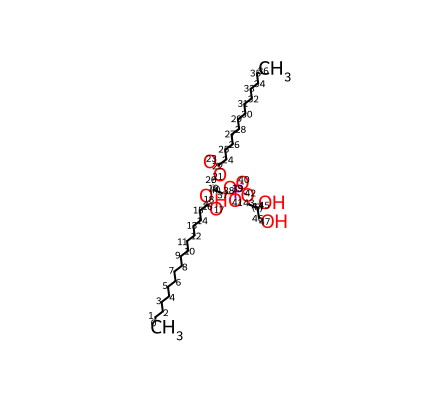 CCCCCCCCCCCCCCCCC(=O)O[C@H](COC(=O)CCCCCCCCCCCCC)COP(=O)(O)OC[C@@H](O)CO